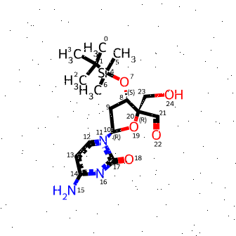 CC(C)(C)[Si](C)(C)O[C@H]1C[C@H](n2ccc(N)nc2=O)O[C@]1(C=O)CO